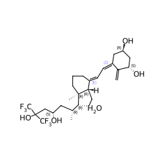 C=C1/C(=C\C=C2/CCC[C@]3(C)[C@@H]([C@H](C)C[C@H](O)CC(O)(C(F)(F)F)C(F)(F)F)CC[C@@H]23)C[C@@H](O)C[C@@H]1O.O